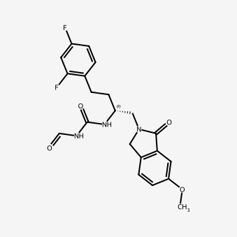 COc1ccc2c(c1)C(=O)N(C[C@@H](CCc1ccc(F)cc1F)NC(=O)NC=O)C2